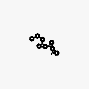 Cn1c2ccccc2c2cc3c4ccccc4n(-c4ccc5c6ccccc6n(-c6cccc(-c7cccc(-c8ccccc8)c7)c6)c5c4)c3cc21